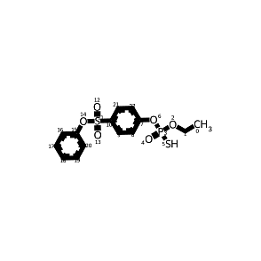 CCOP(=O)(S)Oc1ccc(S(=O)(=O)Oc2ccccc2)cc1